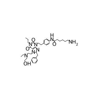 CCCn1c(=O)c2c(nc(Cc3ccccc3)n2CCN(CC)CCO)n(CCc2ccc(NC(=O)CCCCCN)cc2)c1=O